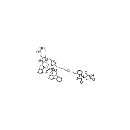 C[C@@H](OCc1ccc(CCCCCOCCCc2cccc3c2n(C)c(=O)n3C2CCC(=O)NC2=O)cc1)[C@H](CCC(N)=O)NC(=O)[C@@H]1Cc2cccc3c2N1C(=O)[C@@H](NC(=O)OCC1c2ccccc2-c2ccccc21)CC3